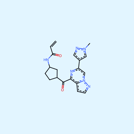 C=CC(=O)NC1CCC(C(=O)c2nc(-c3cnn(C)c3)cn3nccc23)C1